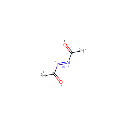 [2H]C(=O)/N=I/C([2H])=O